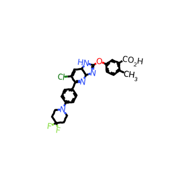 Cc1ccc(OC2=NC3N=C(c4ccc(N5CCC(F)(F)CC5)cc4)C(Cl)=CC3N2)cc1C(=O)O